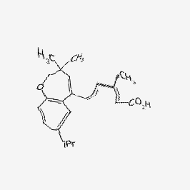 CC(C=CC1=CC(C)(C)COc2ccc(C(C)C)cc21)=CC(=O)O